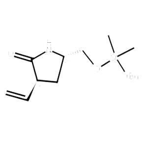 C=C[C@@H]1C[C@@H](CO[Si](C)(C)C(C)(C)C)NC1=O